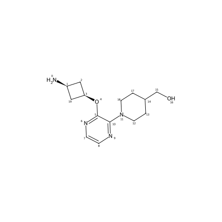 N[C@H]1C[C@@H](Oc2nccnc2N2CCC(CO)CC2)C1